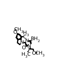 Bc1cn([C@H](CC)COC)c(=O)c(N2CCc3cc(OC)cc(C)c32)n1